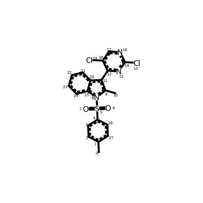 Cc1ccc(S(=O)(=O)n2c(C)c(-c3nc(Cl)ncc3Cl)c3ccccc32)cc1